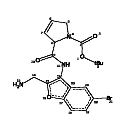 CC(C)(C)OC(=O)N1CC=CC1C(=O)Nc1c(CN)oc2ccc(Br)cc12